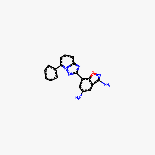 Nc1cc(-c2nc3cccc(-c4ccccc4)n3n2)c2onc(N)c2c1